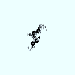 COc1cccc(-c2ccnc3[nH]c(-c4n[nH]c5ccc(-c6cncc(CN(C)C)c6)nc45)nc23)c1